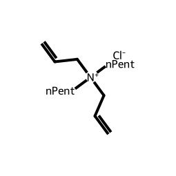 C=CC[N+](CC=C)(CCCCC)CCCCC.[Cl-]